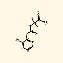 CC(C)([CH]C(=O)Nc1ncccc1O)C(N)=O